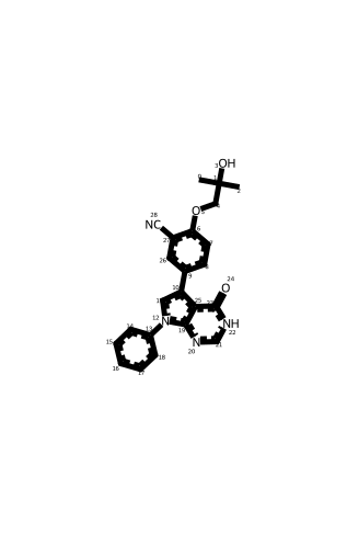 CC(C)(O)COc1ccc(-c2cn(-c3ccccc3)c3nc[nH]c(=O)c23)cc1C#N